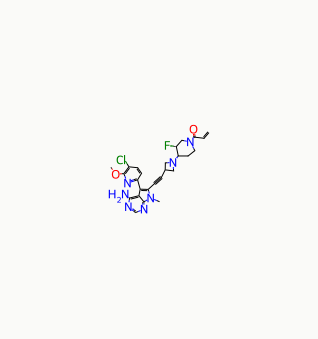 C=CC(=O)N1CC[C@@H](N2CC(C#Cc3c(-c4ccc(Cl)c(OC)n4)c4c(N)ncnc4n3C)C2)[C@@H](F)C1